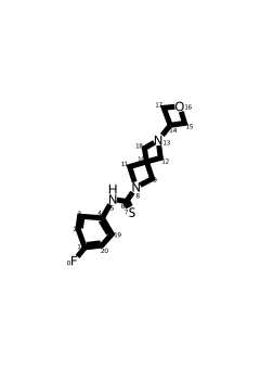 Fc1ccc(NC(=S)N2CC3(C2)CN(C2COC2)C3)cc1